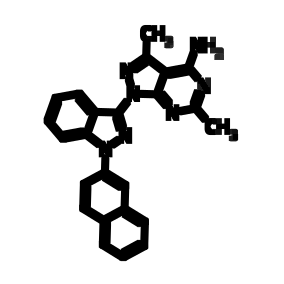 Cc1nc(N)c2c(C)nn(-c3nn(-c4ccc5ccccc5c4)c4ccccc34)c2n1